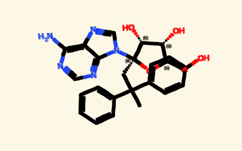 CC(C[C@@]1(n2cnc3c(N)ncnc32)O[C@H](CO)[C@@H](O)[C@H]1O)(c1ccccc1)c1ccccc1